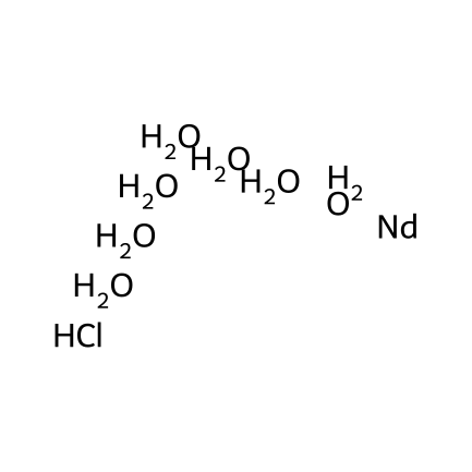 Cl.O.O.O.O.O.O.O.[Nd]